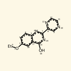 CCOc1ccc2nc(-c3cnccn3)nc(O)c2c1